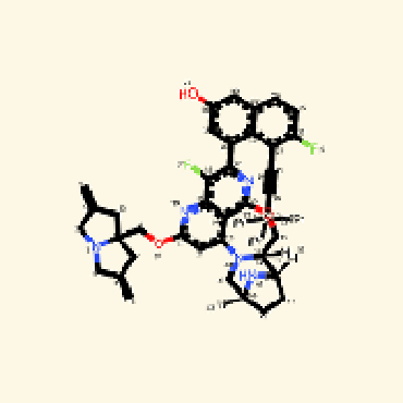 C=C1CN2CC(=C)CC2(COc2cc3c4c(nc(-c5cc(O)cc6ccc(F)c(C#C[Si](C(C)C)(C(C)C)C(C)C)c56)c(F)c4n2)OC[C@@H]2[C@@H]4CC[C@H](CN32)N4)C1